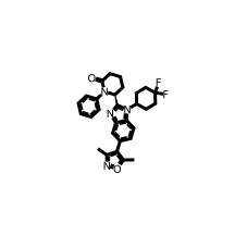 Cc1noc(C)c1-c1ccc2c(c1)nc([C@@H]1CCCC(=O)N1c1ccccc1)n2C1CCC(F)(F)CC1